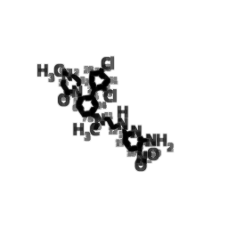 CN1CCN(c2ccc(N(C)CCNc3ccc([N+](=O)[O-])c(N)n3)cc2-c2ccc(Cl)cc2Cl)C(=O)C1